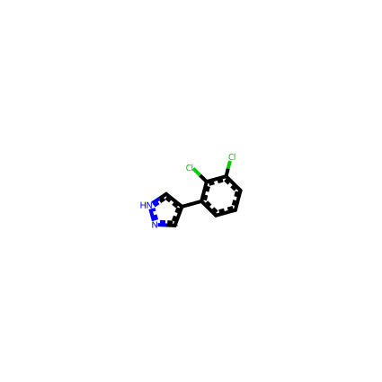 Clc1cccc(-c2[c]n[nH]c2)c1Cl